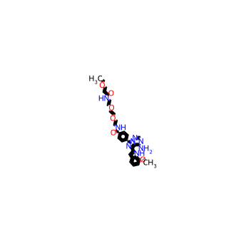 CCOCCC(=O)NCCOCCOCCNC(=O)[C@H]1CC[C@H](c2nc(-c3cc4cccc(OC)c4[nH]3)c3c(N)ncnn32)CC1